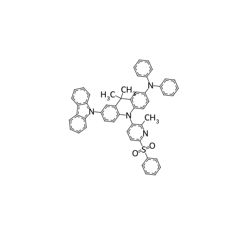 Cc1nc(S(=O)(=O)c2ccccc2)ccc1N1c2ccc(N(c3ccccc3)c3ccccc3)cc2C(C)(C)c2cc(-n3c4ccccc4c4ccccc43)ccc21